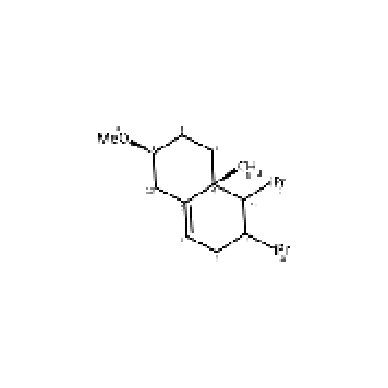 CO[C@H]1CC[C@@]2(C)C(=CCC(C(C)C)C2C(C)C)C1